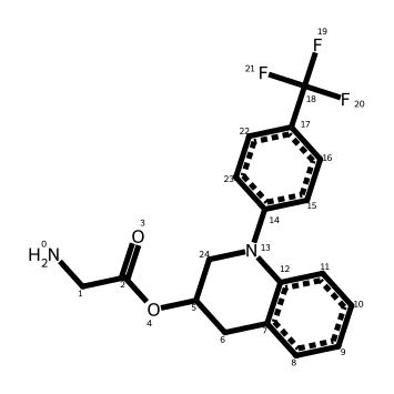 NCC(=O)OC1Cc2ccccc2N(c2ccc(C(F)(F)F)cc2)C1